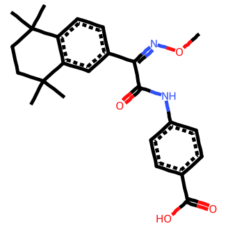 CON=C(C(=O)Nc1ccc(C(=O)O)cc1)c1ccc2c(c1)C(C)(C)CCC2(C)C